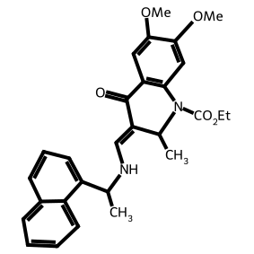 CCOC(=O)N1c2cc(OC)c(OC)cc2C(=O)/C(=C/NC(C)c2cccc3ccccc23)C1C